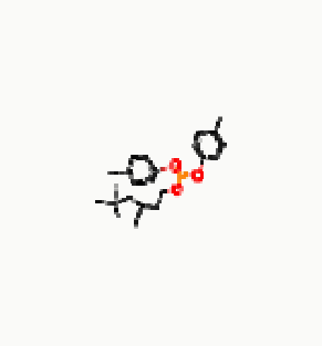 Cc1ccc(OP(OCCC(C)CC(C)(C)C)Oc2ccc(C)cc2)cc1